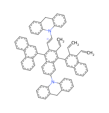 C=Cc1c(-c2c(C=C)c(/C=C/N3c4ccccc4Cc4ccccc43)c(-c3cc4ccccc4c4ccccc34)c3ccc(N4c5ccccc5Cc5ccccc54)cc23)cc2ccccc2c1C=C